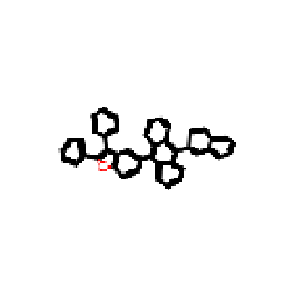 c1ccc(-c2oc3ccc(-c4c5ccccc5c(-c5ccc6ccccc6c5)c5ccccc45)cc3c2-c2ccccc2)cc1